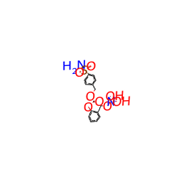 NS(=O)(=O)c1ccc(COC(=O)Oc2ccccc2CON(O)O)cc1